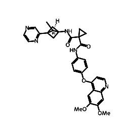 COc1cc2nccc(Oc3ccc(NC(=O)C4(C(=O)NC56CC(c7cnccn7)(C5)[C@H]6C)CC4)cc3)c2cc1OC